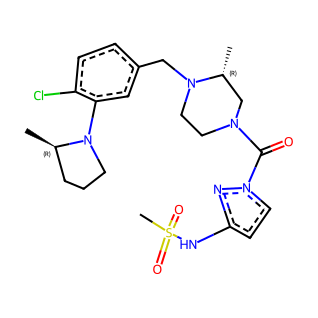 C[C@@H]1CN(C(=O)n2ccc(NS(C)(=O)=O)n2)CCN1Cc1ccc(Cl)c(N2CCC[C@H]2C)c1